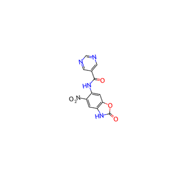 O=C(Nc1cc2oc(=O)[nH]c2cc1[N+](=O)[O-])c1cncnc1